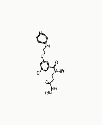 CC(C)N(CCC(=O)NC(C)(C)C)C(=O)c1cc(Cl)cc(OCCNc2ccncc2)c1